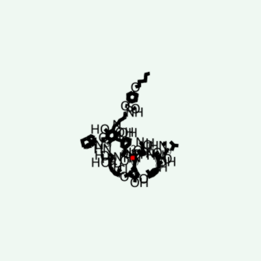 CCCCCOc1ccc(S(=O)(=O)NCCCNCc2c(O)cc3c(c2O)-c2cc(ccc2O)[C@H]2NC(=O)[C@@H]4NC(=O)[C@H](CC(N)=O)NC(=O)[C@H](NC(=O)[C@@H](CC(C)C)NC)[C@H](O)c5ccc(c(C)c5)Oc5cc4cc(c5O)Oc4ccc(cc4Cl)[C@@H](O)[C@H](NC2=O)C(=O)N[C@@H]3C(=O)NC2C3CC4CC(C3)CC2C4)cc1